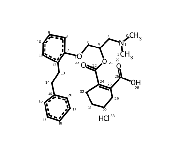 CN(C)CC(COc1ccccc1CCc1ccccc1)OC(=O)C1=C(C(=O)O)CCCC1.Cl